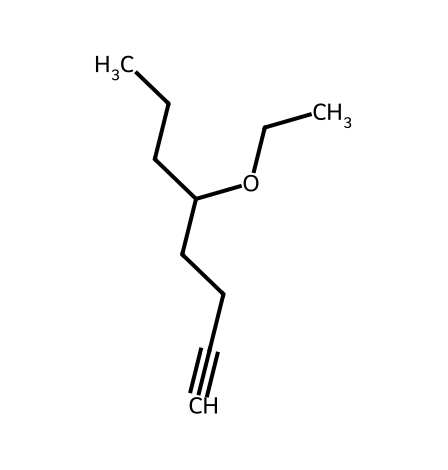 C#CCCC(CCC)OCC